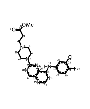 COC(=O)CCN1CCN(c2ncc3ncnc(Nc4ccc(F)c(Cl)c4)c3n2)CC1